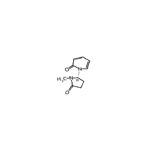 CN1C(=O)CC[C@H]1n1ccccc1=O